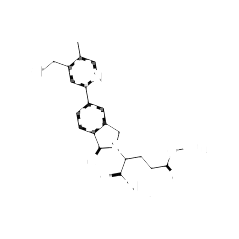 Cc1cnc(-c2ccc3c(c2)CN(C(CCC(=O)OC(C)(C)C)C(N)=O)C3=O)cc1CCl